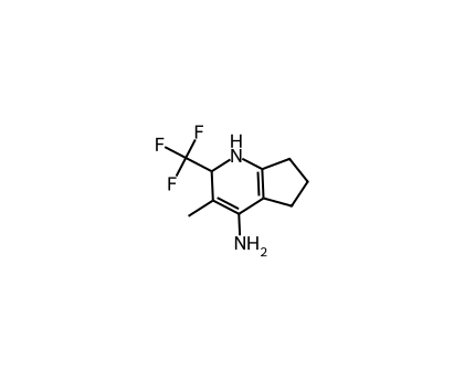 CC1=C(N)C2=C(CCC2)NC1C(F)(F)F